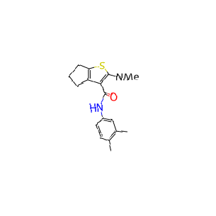 CNc1sc2c(c1C(=O)Nc1ccc(C)c(C)c1)CCC2